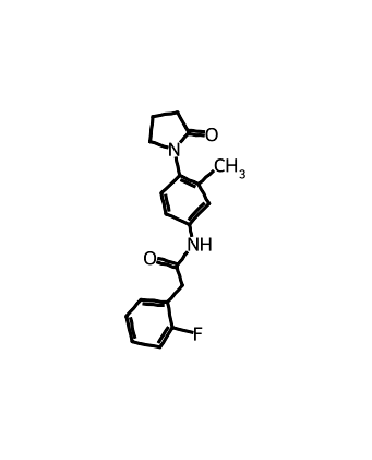 Cc1cc(NC(=O)Cc2ccccc2F)ccc1N1CCCC1=O